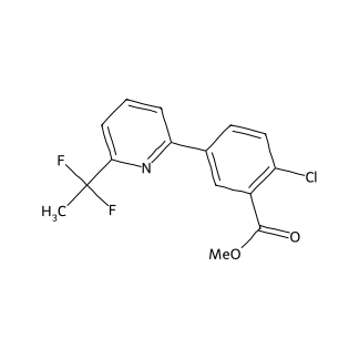 COC(=O)c1cc(-c2cccc(C(C)(F)F)n2)ccc1Cl